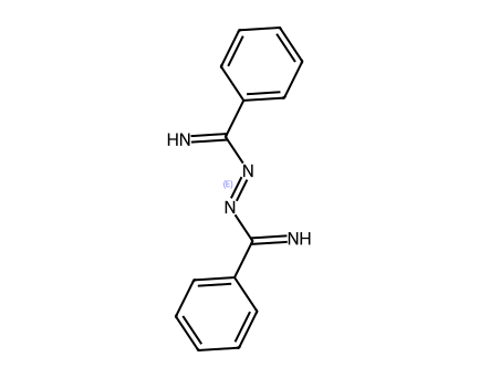 N=C(/N=N/C(=N)c1ccccc1)c1ccccc1